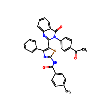 CC(=O)c1ccc(-n2c(-c3sc(NC(=O)c4ccc(C)cc4)nc3-c3ccccc3)nc3ccccc3c2=O)cc1